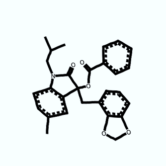 Cc1ccc2c(c1)C(Cc1cccc3c1OCO3)(OC(=O)c1ccccc1)C(=O)N2CC(C)C